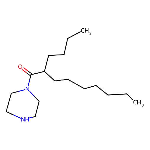 CCCCCCCC(CCCC)C(=O)N1CCNCC1